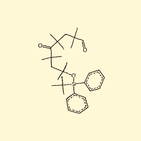 CC(C)(C=O)CC(C)(C)C(=O)C(C)(C)CC(C)(C)O[Si](c1ccccc1)(c1ccccc1)C(C)(C)C